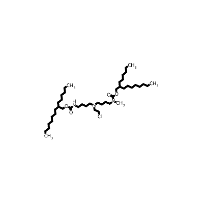 CCCCCCCCC(CCCCCC)COC(=O)NCCCCN(CCCl)CCCCN(C)C(=O)OCC(CCCCCC)CCCCCCCC